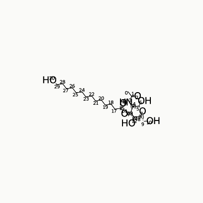 CC(=O)N[C@H]1C(O)O[C@H](CO)[C@@H](O)[C@@H]1OC(=O)CCCCCCCCCCCCCO